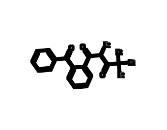 CCC(C(=O)c1ccccc1C(=O)c1ccccc1)C(=O)C(CC)(CC)CC